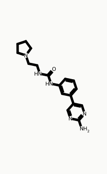 Nc1ncc(-c2cccc(NC(=O)NCCN3CCCC3)c2)cn1